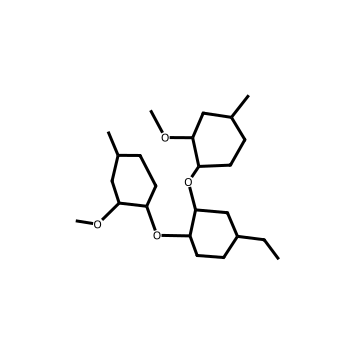 CCC1CCC(OC2CCC(C)CC2OC)C(OC2CCC(C)CC2OC)C1